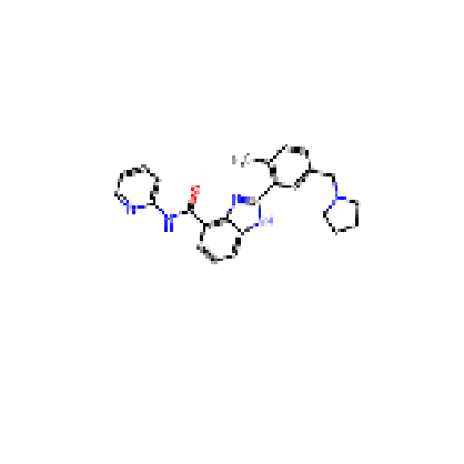 O=C(Nc1ccccn1)c1cccc2[nH]c(-c3cc(CN4CCCC4)ccc3C(F)(F)F)nc12